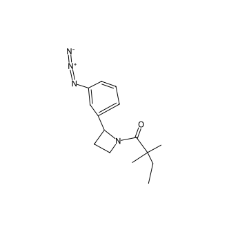 CCC(C)(C)C(=O)N1CCC1c1cccc(N=[N+]=[N-])c1